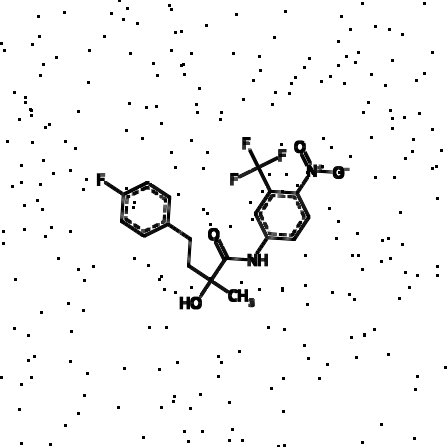 CC(O)(CCc1ccc(F)cc1)C(=O)Nc1ccc([N+](=O)[O-])c(C(F)(F)F)c1